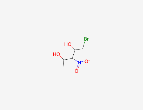 CC(O)C(C(O)CBr)[N+](=O)[O-]